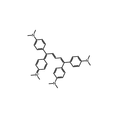 CN(C)c1ccc(C(=CC=CC(=C2C=CC(=[N+](C)C)C=C2)c2ccc(N(C)C)cc2)c2ccc(N(C)C)cc2)cc1